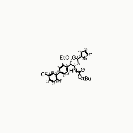 CCOC(=O)C(C[C@@H](Cc1ccc(-c2cc(Cl)ccc2F)cc1)NC(=O)OC(C)(C)C)c1cccs1